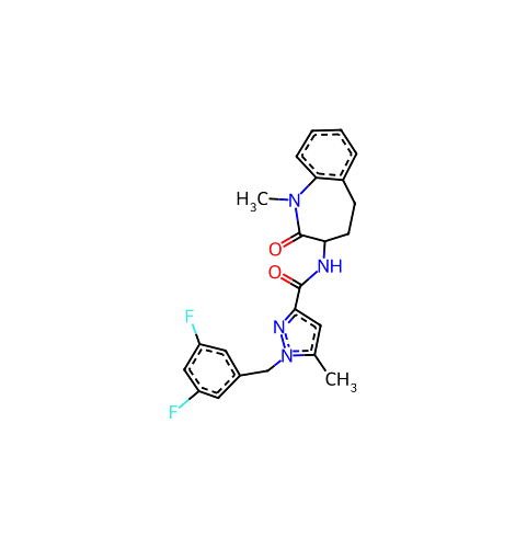 Cc1cc(C(=O)NC2CCc3ccccc3N(C)C2=O)nn1Cc1cc(F)cc(F)c1